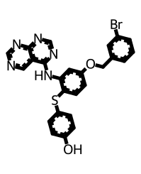 Oc1ccc(Sc2ccc(OCc3cccc(Br)c3)cc2Nc2ncnc3ncncc23)cc1